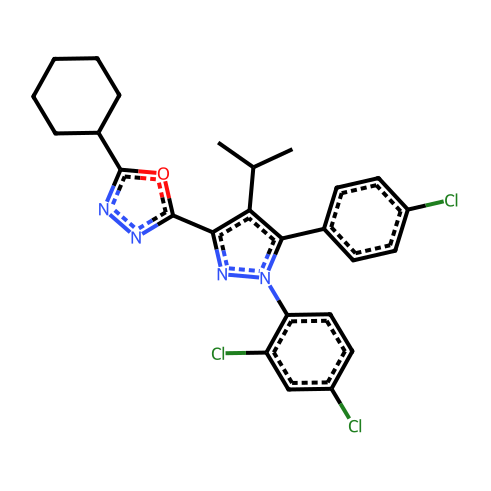 CC(C)c1c(-c2nnc(C3CCCCC3)o2)nn(-c2ccc(Cl)cc2Cl)c1-c1ccc(Cl)cc1